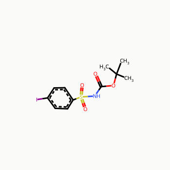 CC(C)(C)OC(=O)NS(=O)(=O)c1ccc(I)cc1